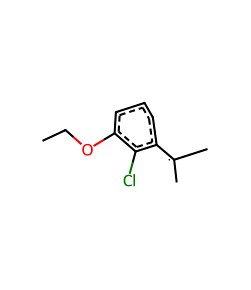 CCOc1cccc([C](C)C)c1Cl